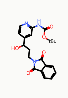 CC(C)(C)OC(=O)Nc1cc(C(O)CCN2C(=O)c3ccccc3C2=O)ccn1